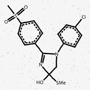 CSC1(O)CN(c2ccc(Cl)cc2)C(c2ccc(S(C)(=O)=O)cc2)=N1